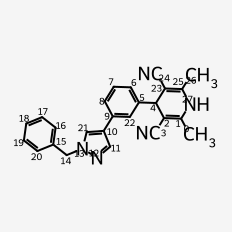 CC1=C(C#N)C(c2cccc(-c3cnn(Cc4ccccc4)c3)c2)C(C#N)=C(C)N1